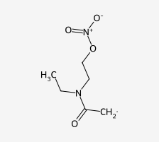 [CH2]C(=O)N(CC)CCO[N+](=O)[O-]